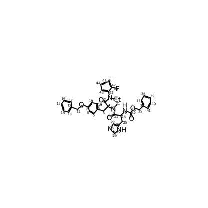 CCN(C(=O)C(Cc1ccc(OCc2ccccc2)cc1)N(C)C(=O)C(Cc1cnc[nH]1)NC(=O)OCc1ccccc1)c1ccccc1F